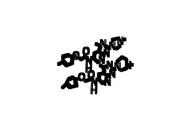 Cc1ccc(OCC(=O)Nc2cnc3nc(N4CCCN(C)CC4)nc(C)c3c2)cc1.Cc1ccc(OCC(=O)Nc2cnc3nc(N4CCN(C)CC4)nc(C)c3c2)cc1